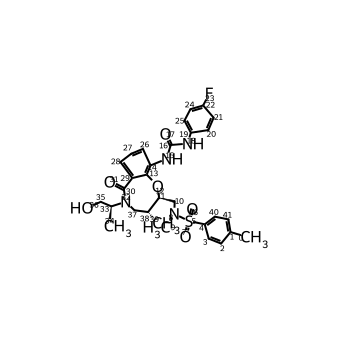 Cc1ccc(S(=O)(=O)N(C)C[C@@H]2Oc3c(NC(=O)Nc4ccc(F)cc4)cccc3C(=O)N([C@@H](C)CO)C[C@H]2C)cc1